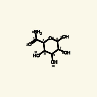 NC(=O)C1OC(O)C(O)C(O)C1O